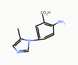 Cc1cncn1-c1ccc(N)c(C(=O)O)c1